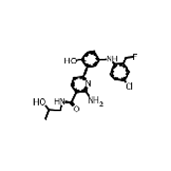 CC(O)CNC(=O)c1ccc(-c2cc(Nc3ccc(Cl)cc3CF)ccc2O)nc1N